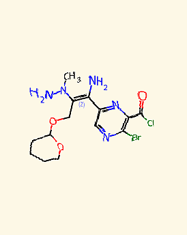 CN(N)/C(COC1CCCCO1)=C(\N)c1cnc(Br)c(C(=O)Cl)n1